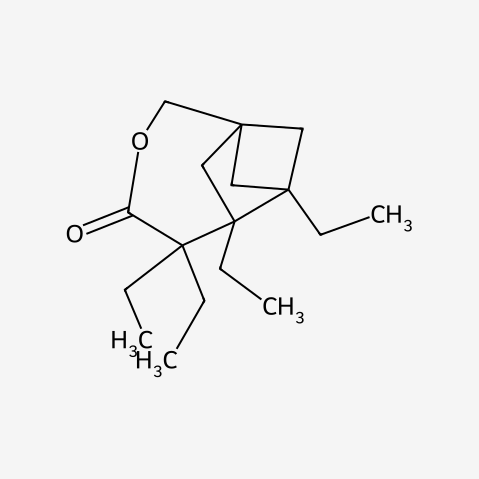 CCC12CC3(COC(=O)C(CC)(CC)C1(CC)C3)C2